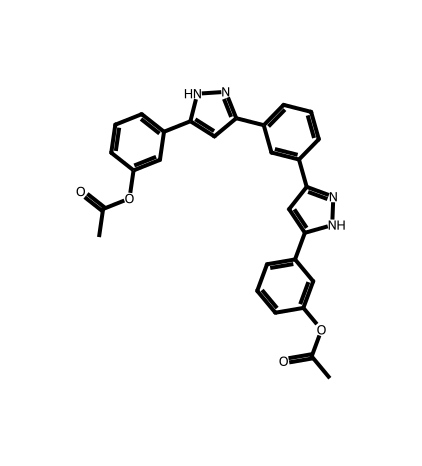 CC(=O)Oc1cccc(-c2cc(-c3cccc(-c4cc(-c5cccc(OC(C)=O)c5)[nH]n4)c3)n[nH]2)c1